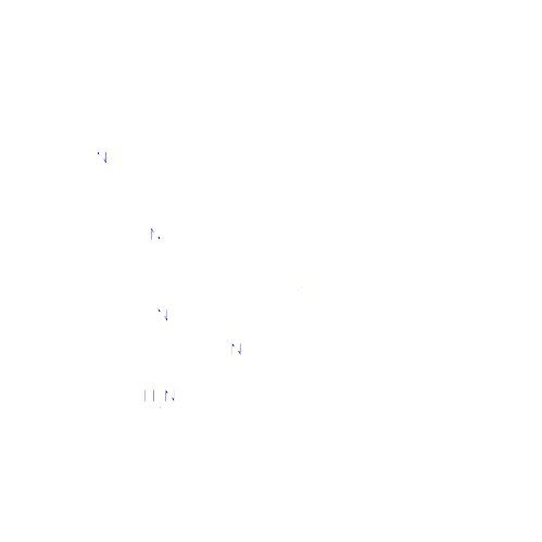 Nc1nc(N2CCNCC2)c2cc(-c3ccc(F)cc3)sc2n1